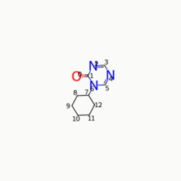 O=c1ncncn1C1CCCCC1